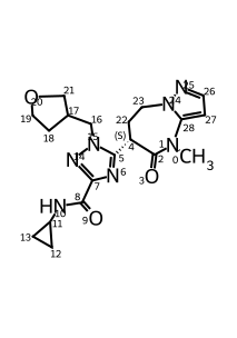 CN1C(=O)[C@H](c2nc(C(=O)NC3CC3)nn2CC2CCOC2)CCn2nccc21